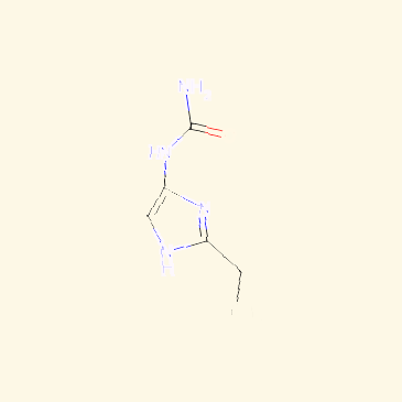 CCc1nc(NC(N)=O)c[nH]1